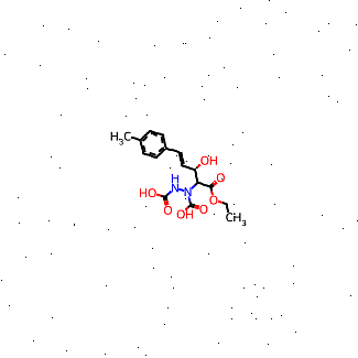 CCOC(=O)C([C@H](O)C=Cc1ccc(C)cc1)N(NC(=O)O)C(=O)O